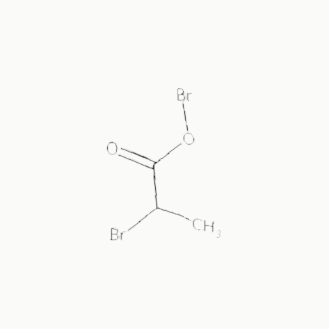 CC(Br)C(=O)OBr